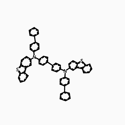 c1ccc(-c2ccc(N(c3ccc(-c4ccc(N(c5ccc(-c6ccccc6)cc5)c5ccc6sc7ccccc7c6c5)cc4)cc3)c3ccc4sc5ccccc5c4c3)cc2)cc1